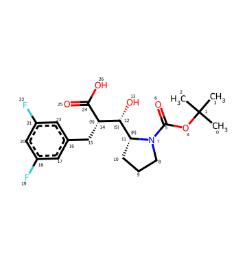 CC(C)(C)OC(=O)N1CCC[C@@H]1[C@@H](O)[C@H](Cc1cc(F)cc(F)c1)C(=O)O